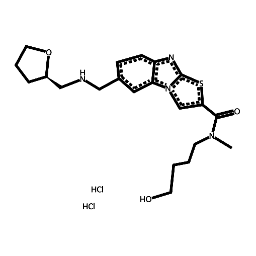 CN(CCCCO)C(=O)c1cn2c(nc3ccc(CNC[C@H]4CCCO4)cc32)s1.Cl.Cl